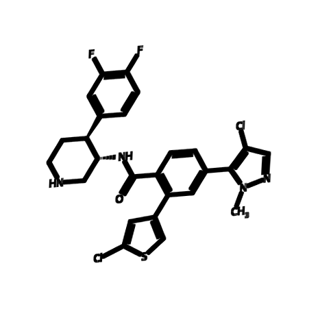 Cn1ncc(Cl)c1-c1ccc(C(=O)N[C@@H]2CNCC[C@H]2c2ccc(F)c(F)c2)c(-c2csc(Cl)c2)c1